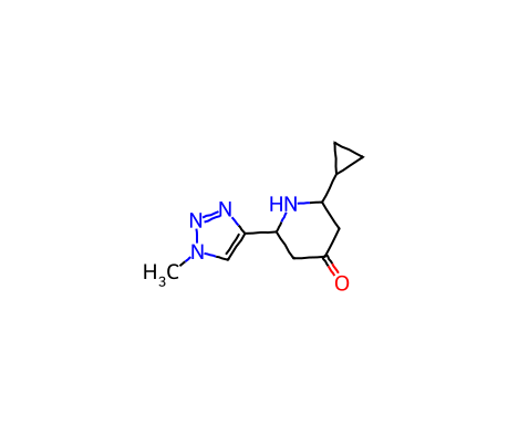 Cn1cc(C2CC(=O)CC(C3CC3)N2)nn1